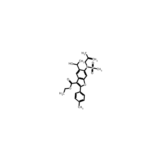 C=C(C)CN(c1cc2oc(-c3ccc(C)cc3)c(C(=O)OCC)c2cc1C(C)O)S(C)(=O)=O